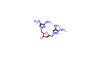 Nc1cn(CC2=CC(=O)C(Cn3cc(N)c(N)n3)O2)nc1N